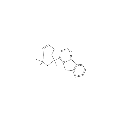 CC1(C)CC(C)(c2cccc3c2Cc2ccccc2-3)C2=C1C=CC2